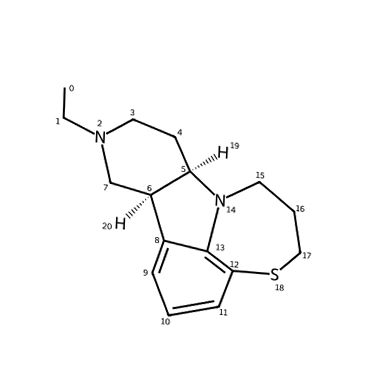 CCN1CC[C@@H]2[C@H](C1)c1cccc3c1N2CCCS3